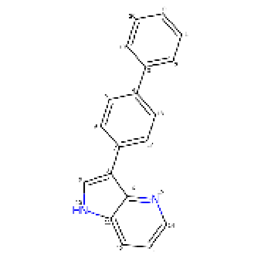 c1ccc(-c2ccc(-c3c[nH]c4cccnc34)cc2)cc1